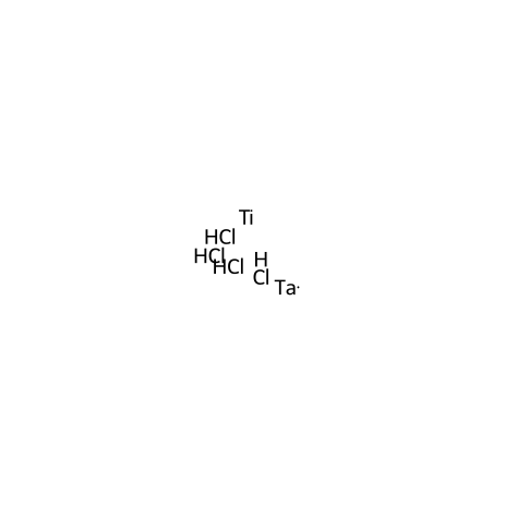 Cl.Cl.Cl.Cl.[Ta].[Ti]